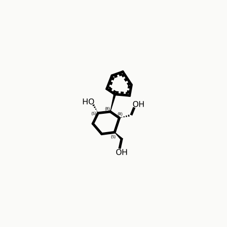 OC[C@H]1CC[C@H](O)[C@@H](c2ccccc2)[C@@H]1CO